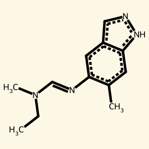 CCN(C)C=Nc1cc2cn[nH]c2cc1C